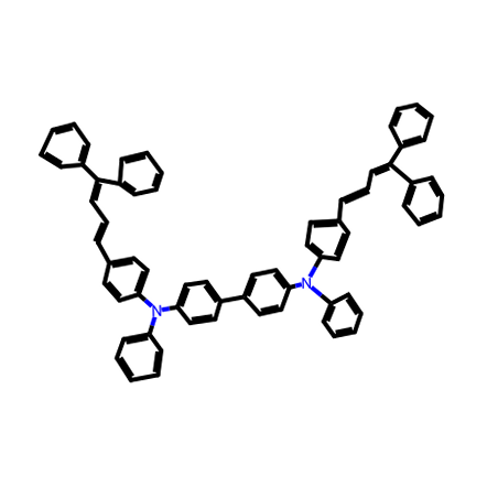 C(/C=C/c1ccc(N(c2ccccc2)c2ccc(-c3ccc(N(c4ccccc4)c4ccc(/C=C/C=C(c5ccccc5)c5ccccc5)cc4)cc3)cc2)cc1)=C(c1ccccc1)c1ccccc1